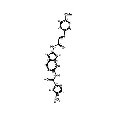 COc1ccc(/C=C/C(=O)Nc2nc3ccc(NC(=O)c4ccc([N+](=O)[O-])o4)cc3s2)cc1